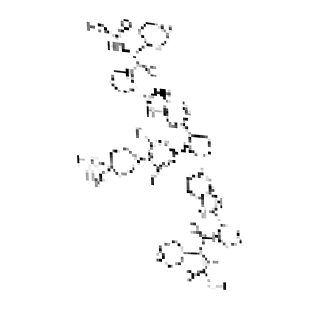 CC1(C)CCN(c2c(F)cc(N3[C@@H](c4ccc5[nH]c([C@@H]6CCCN6C(=O)[C@@H](NC(=O)O)C6CCOCC6)nc5c4)CC[C@@H]3c3ccc4[nH]c([C@@H]5CCCN5C(=O)[C@@H](NC(=O)O)C5CCOCC5)nc4c3)cc2F)CC1